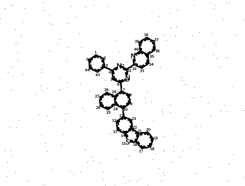 c1ccc(-c2cc(-c3ccc(-c4ccc5sc6ccccc6c5c4)c4ccccc34)nc(-c3ccc4ccccc4n3)n2)cc1